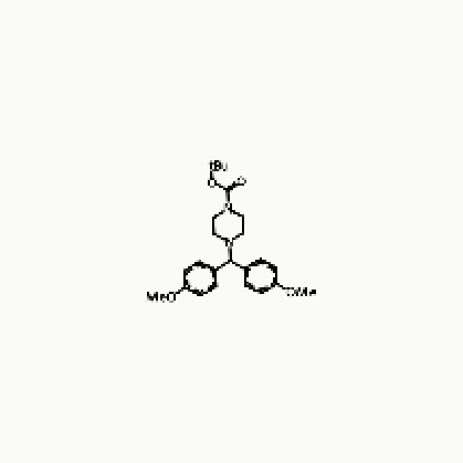 COc1ccc(C(c2ccc(OC)cc2)N2CCN(C(=O)OC(C)(C)C)CC2)cc1